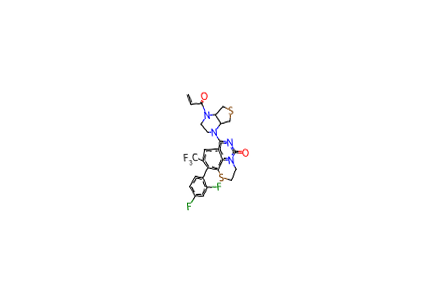 C=CC(=O)N1CCN(c2nc(=O)n3c4c(c(-c5ccc(F)cc5F)c(C(F)(F)F)cc24)SCC3)C2CSCC21